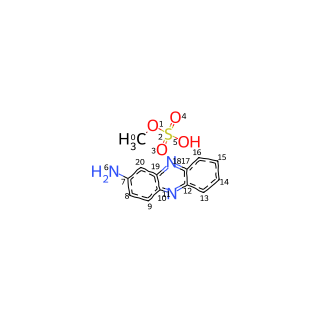 COS(=O)(=O)O.Nc1ccc2nc3ccccc3nc2c1